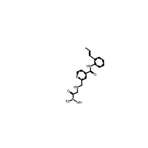 C/C=C/c1ccccc1NC(=O)c1ccnc(CNCC(=O)N(CC)CCC)c1